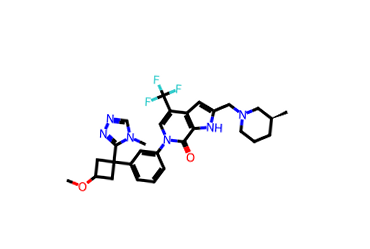 COC1CC(c2cccc(-n3cc(C(F)(F)F)c4cc(CN5CCC[C@H](C)C5)[nH]c4c3=O)c2)(c2nncn2C)C1